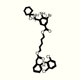 CC1(NCc2cc(C(=O)OCCCCCOC(=O)Cc3ccccc3Nc3c(Cl)cccc3Cl)cc(Br)c2N)CCCCC1